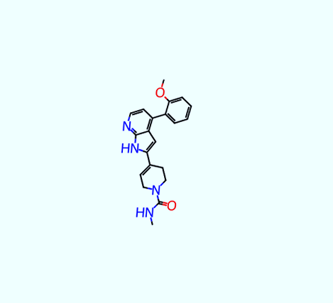 CNC(=O)N1CC=C(c2cc3c(-c4ccccc4OC)ccnc3[nH]2)CC1